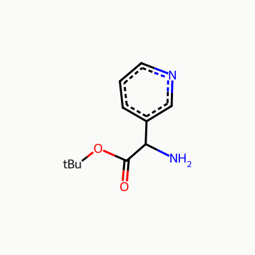 CC(C)(C)OC(=O)C(N)c1cccnc1